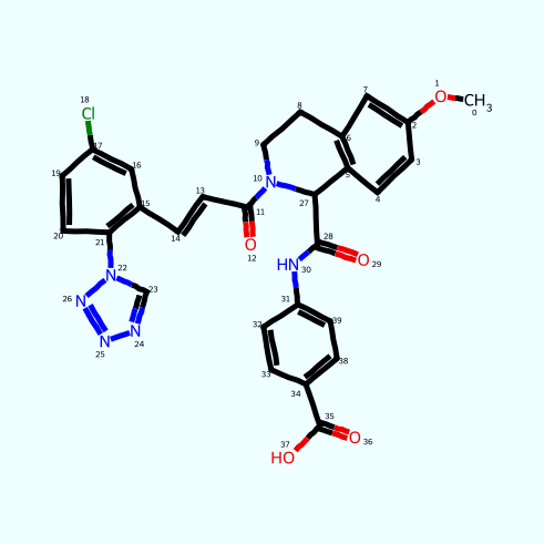 COc1ccc2c(c1)CCN(C(=O)C=Cc1cc(Cl)ccc1-n1cnnn1)C2C(=O)Nc1ccc(C(=O)O)cc1